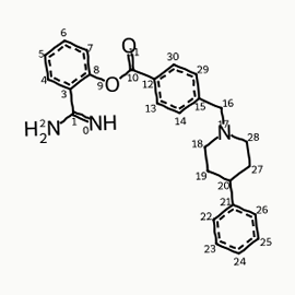 N=C(N)c1ccccc1OC(=O)c1ccc(CN2CCC(c3ccccc3)CC2)cc1